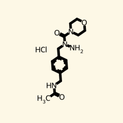 CC(=O)NCc1ccc(CN(N)C(=O)N2CCOCC2)cc1.Cl